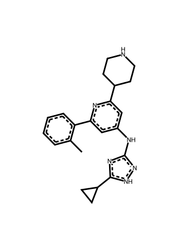 Cc1ccccc1-c1cc(Nc2n[nH]c(C3CC3)n2)cc(C2CCNCC2)n1